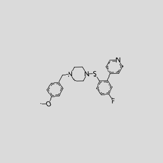 COc1ccc(CN2CCN(Sc3ccc(F)cc3-c3ccncc3)CC2)cc1